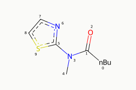 CCCCC(=O)N(C)c1nccs1